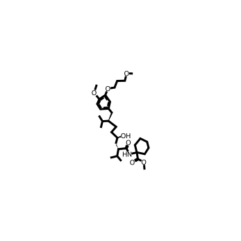 COCCCOc1cc(C[C@@H](CC[C@@H](O)C[C@H](C(=O)NC2(C(=O)OC)CCCCC2)C(C)C)C(C)C)ccc1OC